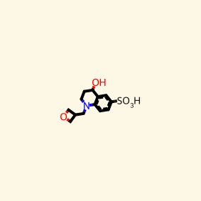 O=S(=O)(O)c1ccc2c(c1)C(O)CCN2CC1COC1